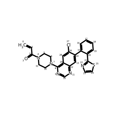 C=CC(=O)N1CCN(c2ncnc3cc(-c4ccccc4-c4nccs4)c(Cl)cc23)CC1